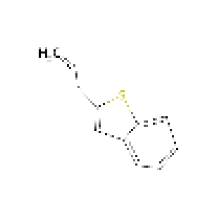 C=CCc1cc2ccccc2s1